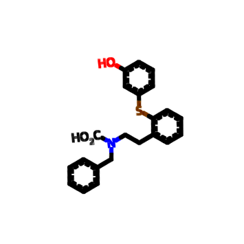 O=C(O)N(CCc1ccccc1Sc1cccc(O)c1)Cc1ccccc1